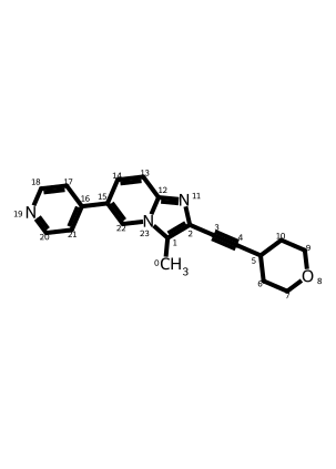 Cc1c(C#CC2CCOCC2)nc2ccc(-c3ccncc3)cn12